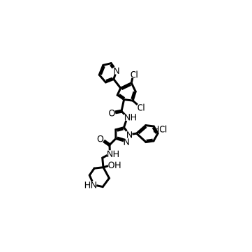 Cl.O=C(NCC1(O)CCNCC1)c1cc(NC(=O)c2cc(-c3ccccn3)c(Cl)cc2Cl)n(-c2ccccc2)n1